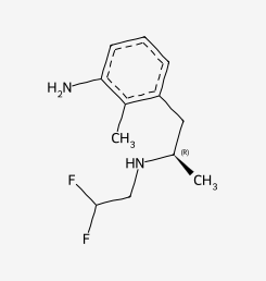 Cc1c(N)cccc1C[C@@H](C)NCC(F)F